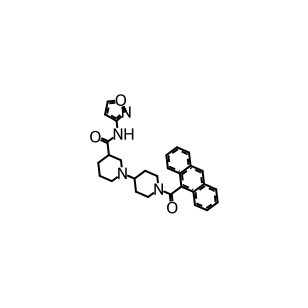 O=C(Nc1ccon1)C1CCCN(C2CCN(C(=O)c3c4ccccc4cc4ccccc34)CC2)C1